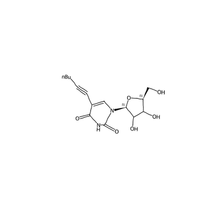 CCCCC#Cc1cn([C@H]2O[C@@H](CO)C(O)C2O)c(=O)[nH]c1=O